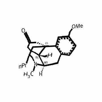 CCCC1CC(=O)C[C@]23CCN(C)[C@H](Cc4ccc(OC)cc42)[C@H]13